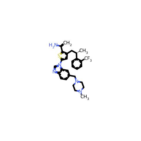 C=C(N)c1sc(-n2cnc3ccc(CN4CCN(C)CC4)cc32)cc1C[C@H](C)c1ccccc1C(F)(F)F